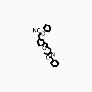 Cc1oc(-c2ccccc2)nc1Cc1cc2cc(C=C(C#N)Oc3ccccc3)ccc2o1